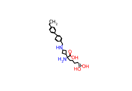 C=Cc1ccc(-c2ccc(CNC3CC([C@](N)(CCCCB(O)O)C(=O)O)C3)cc2)cc1